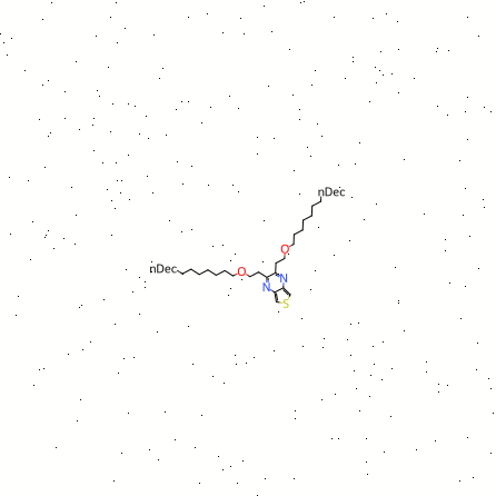 CCCCCCCCCCCCCCCCCOCCc1nc2cscc2nc1CCOCCCCCCCCCCCCCCCCC